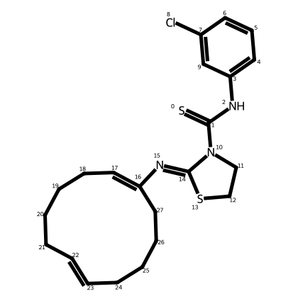 S=C(Nc1cccc(Cl)c1)N1CCSC1=N/C1=C/CCCC/C=C/CCCC1